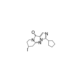 O=c1c2cnc(C3CCCC3)n2nc2n1CCC(I)C2